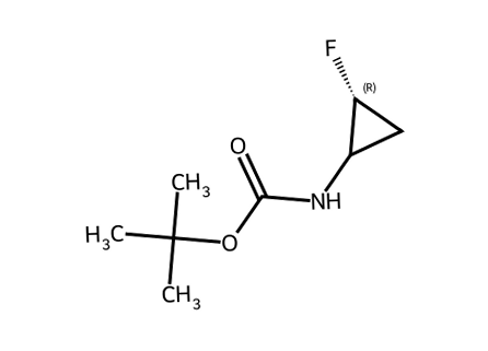 CC(C)(C)OC(=O)NC1C[C@H]1F